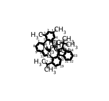 Cc1cc(C)c(-c2cccc3cn(-c4c(C(C)C)cccc4C(C)C)[c](=[Pd]([Cl])[C]4=Cc5ccccc5C4C(C)(C)C)n23)c(C)c1